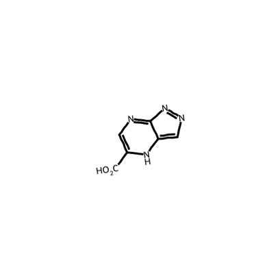 O=C(O)c1cnc2nncc-2[nH]1